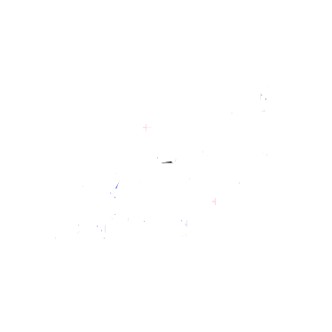 Cc1cn([C@H]2C[C@H](O)[C@@H](COP(=O)(O)Oc3ccc([N+](=O)[O-])cc3)O2)c(=O)[nH]c1=O.N